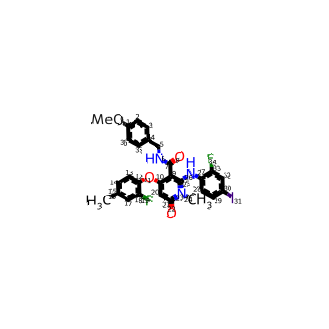 COc1ccc(CNC(=O)c2c(Oc3ccc(C)cc3F)cc(=O)n(C)c2Nc2ccc(I)cc2F)cc1